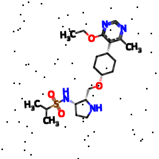 CCOc1ncnc(C)c1[C@H]1CC[C@@H](OC[C@@H]2NCC[C@@H]2NS(=O)(=O)C(C)C)CC1